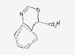 O=C(O)C1OC=Nc2ccccc21